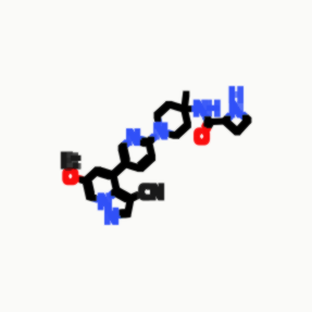 CCOc1cc(-c2ccc(N3CCC(C)(NC(=O)C4CCN4)CC3)nc2)c2c(C#N)cnn2c1